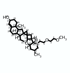 COCCOCCN1C[C@@H](C)C[C@H]2O[C@@]34CC[C@H]5C6CCC7=C[C@@H](O)CC[C@]7(C)[C@H]6CC56CC63C[C@@H]4[C@@H]21